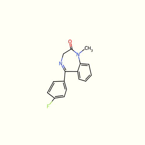 CN1C(=O)CN=C(c2ccc(F)cc2)c2ccccc21